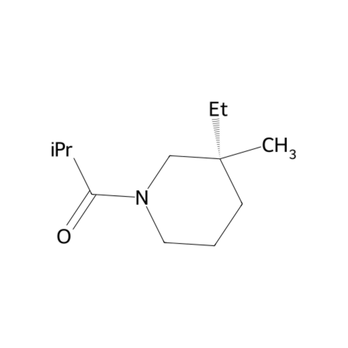 CC[C@]1(C)CCCN(C(=O)C(C)C)C1